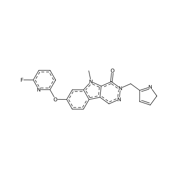 Cn1c2cc(Oc3cccc(F)n3)ccc2c2cnn(CC3=NCC=C3)c(=O)c21